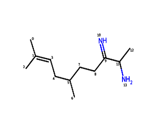 CC(C)=CCC(C)CCC(=N)C(C)N